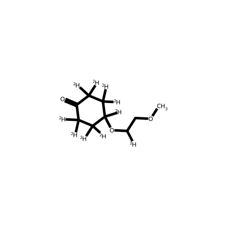 [2H]C(COC)OC1([2H])C([2H])([2H])C([2H])([2H])C(=O)C([2H])([2H])C1([2H])[2H]